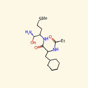 CCC(=O)NC(CC1CCCCC1)C(=O)NC(CCSC)[C@H](N)O